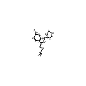 [N-]=[N+]=NCc1nn(C2CCCCO2)c2nc(F)ccc12